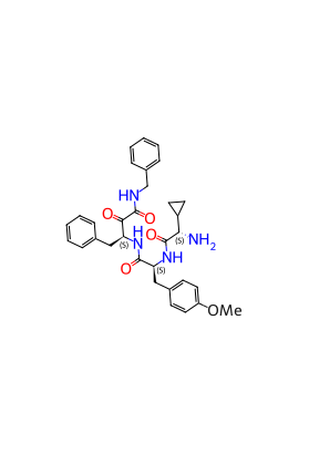 COc1ccc(C[C@H](NC(=O)[C@@H](N)C2CC2)C(=O)N[C@@H](Cc2ccccc2)C(=O)C(=O)NCc2ccccc2)cc1